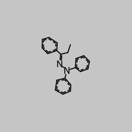 CCC(=NN(c1ccccc1)c1ccccc1)c1ccccc1